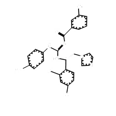 Cc1ccc(N/C(=N\C(=O)c2cccc(C#N)c2)N[C@H](Cn2ccnc2)c2ccc(Cl)cc2Cl)cc1